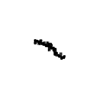 CCC(C)NCCOC(C)(C)COC(C)(C)CCC(=O)N[C@@H](CCCCNC(=O)CCC(C)=O)C(N)=O